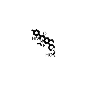 CCc1cc2c(=O)c3c4ccc(C)cc4[nH]c3n(C(C)C)c2c(F)c1C1CCN(C[C@@H](C)O)CC1